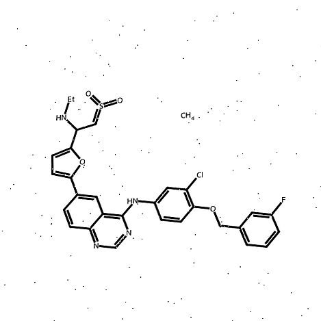 C.CCNC(C=S(=O)=O)c1ccc(-c2ccc3ncnc(Nc4ccc(OCc5cccc(F)c5)c(Cl)c4)c3c2)o1